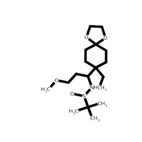 CCC1(C(CCOC)N[S+]([O-])C(C)(C)C)CCC2(CC1)OCCO2